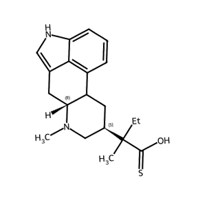 CCC(C)(C(O)=S)[C@@H]1CC2c3cccc4[nH]cc(c34)C[C@H]2N(C)C1